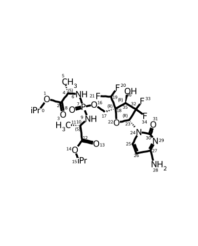 CC(C)OC(=O)[C@H](C)NP(=O)(N[C@@H](C)C(=O)OC(C)C)OC[C@@]1(C(F)F)O[C@@H](n2ccc(N)nc2=O)C(F)(F)[C@@H]1O